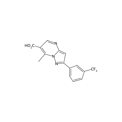 Cc1c(C(=O)O)cnc2cc(-c3cccc(C(F)(F)F)c3)nn12